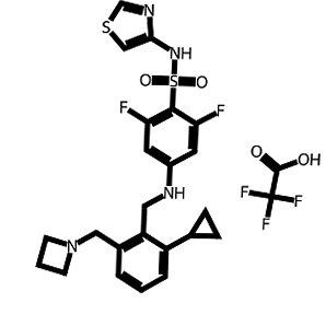 O=C(O)C(F)(F)F.O=S(=O)(Nc1cscn1)c1c(F)cc(NCc2c(CN3CCC3)cccc2C2CC2)cc1F